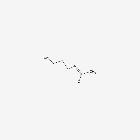 CCCCCC/N=[P+](/C)[O-]